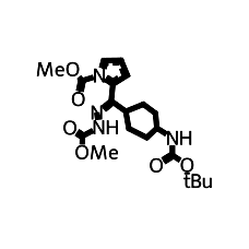 COC(=O)N/N=C(/c1cccn1C(=O)OC)C1CCC(NC(=O)OC(C)(C)C)CC1